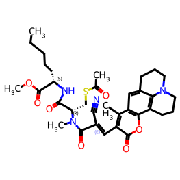 CCCCC[C@H](NC(=O)[C@H](CSC(C)=O)N(C)C(=O)/C(C#N)=C/c1c(C)c2cc3c4c(c2oc1=O)CCCN4CCC3)C(=O)OC